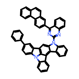 c1ccc(-c2ccc3c(c2)c2cc4c(c5ccccc5n4-c4nc(-c5ccc6c(ccc7ccccc76)c5)c5ccccc5n4)c4c5ccccc5n3c24)cc1